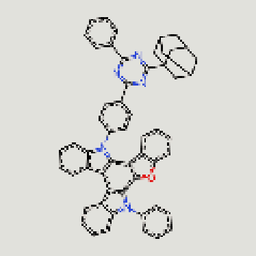 c1ccc(-c2nc(-c3ccc(-n4c5ccccc5c5c6c7ccccc7n(-c7ccccc7)c6c6oc7ccccc7c6c54)cc3)nc(C34CC5CC(CC(C5)C3)C4)n2)cc1